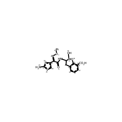 CC(C)ON=C(C(=O)NC1Cc2cccc(C(=O)O)c2OB1O)c1csc(N)n1